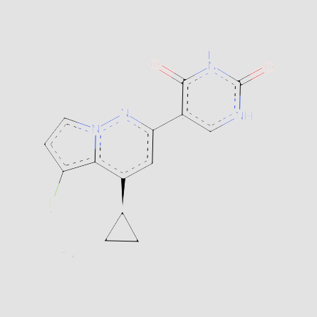 O=c1[nH]cc(-c2cc([C@H]3C[C@@H]3C(F)(F)F)c3c(F)ccn3n2)c(=O)[nH]1